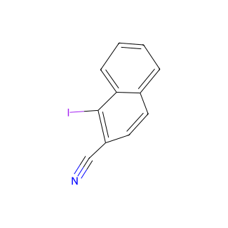 N#Cc1ccc2ccccc2c1I